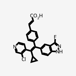 O=C(O)/C=C/c1ccc(/C(=C(\c2ccncc2Cl)C2CC2)c2ccc3[nH]nc(F)c3c2)cc1